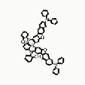 Cc1ccccc1N1c2cc3c(cc2B2c4cc5oc6cc7cc(N(c8ccccc8)c8ccccc8)ccc7cc6c5cc4N(c4ccccc4C)c4cccc1c42)oc1cc2cc(N(c4ccccc4)c4ccccc4)ccc2cc13